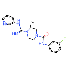 CC(C)C1CN(C(=O)Nc2cccc(F)c2)CCN1C(=N)Nc1cccnc1